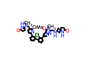 COc1nc(-c2cccc(-c3cccc(-c4cc5c(=O)n(C)c(CNC6CC7(CCC(=O)N7)C6)nn5c4)c3Cl)c2Cl)ccc1CN(C)[C@H]1CCC(=O)N1